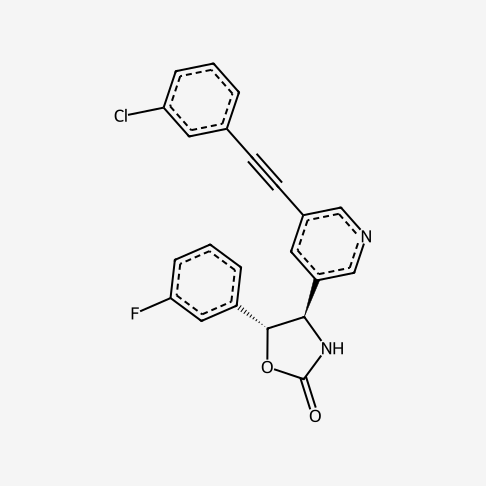 O=C1N[C@H](c2cncc(C#Cc3cccc(Cl)c3)c2)[C@@H](c2cccc(F)c2)O1